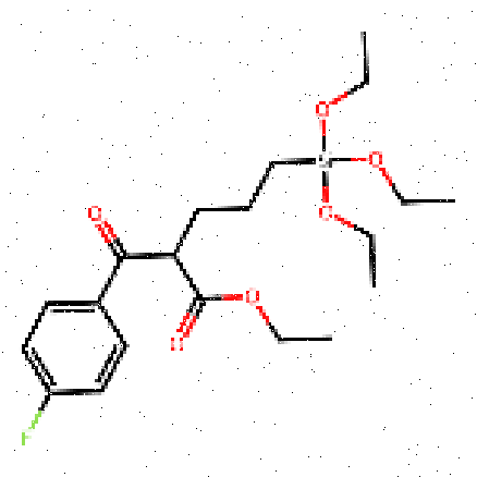 CCOC(=O)C(CCC[Si](OCC)(OCC)OCC)C(=O)c1ccc(F)cc1